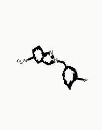 O=[N+]([O-])c1ccc2nn(Cc3cccc(F)c3)cc2c1